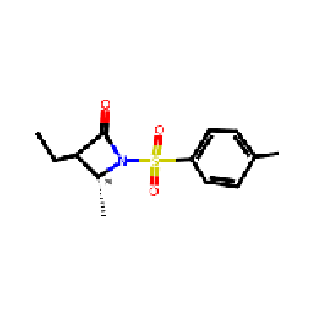 CCC1C(=O)N(S(=O)(=O)c2ccc(C)cc2)[C@@H]1C